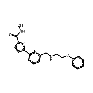 O=C(NO)c1ccc(-c2cccc(CNCCOc3ccccc3)n2)s1